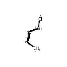 C/C=C\NCl